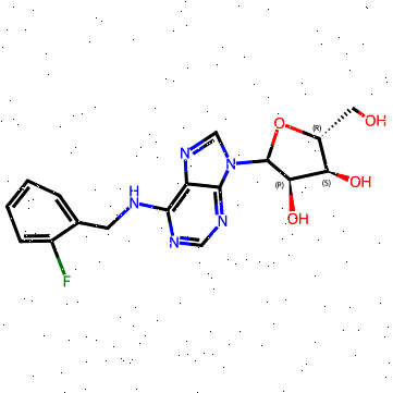 OC[C@H]1OC(n2cnc3c(NCc4ccccc4F)ncnc32)[C@H](O)[C@@H]1O